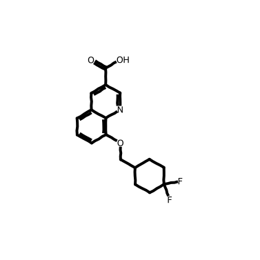 O=C(O)c1cnc2c(OCC3CCC(F)(F)CC3)cccc2c1